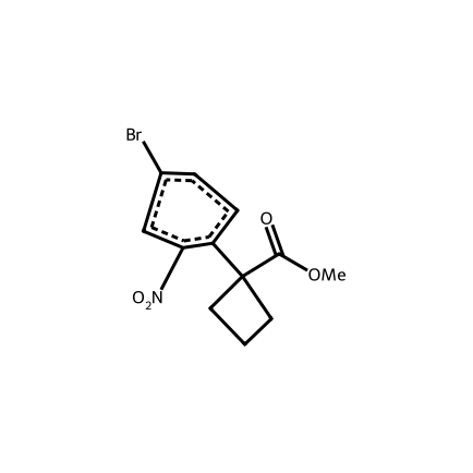 COC(=O)C1(c2ccc(Br)cc2[N+](=O)[O-])CCC1